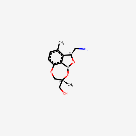 Cc1ccc2c3c1[C@@H](CN)OB3O[C@](C)(CO)CO2